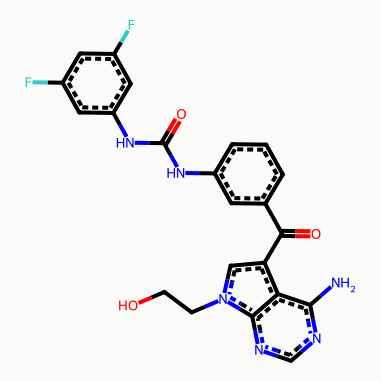 Nc1ncnc2c1c(C(=O)c1cccc(NC(=O)Nc3cc(F)cc(F)c3)c1)cn2CCO